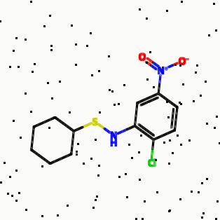 O=[N+]([O-])c1ccc(Cl)c(NSC2CCCCC2)c1